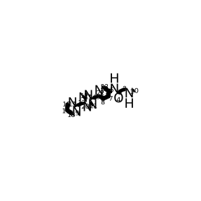 CNCC(=O)Nc1ccc(-c2nnc(-c3ncccn3)nn2)nc1